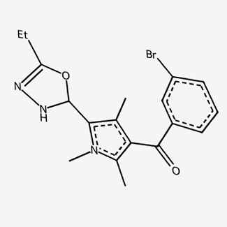 CCC1=NNC(c2c(C)c(C(=O)c3cccc(Br)c3)c(C)n2C)O1